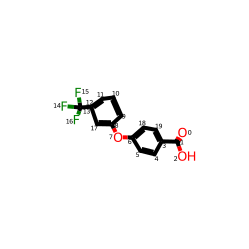 O=C(O)c1ccc(Oc2cccc(C(F)(F)F)c2)cc1